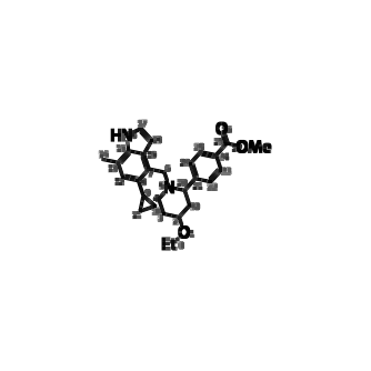 CCOC1CCN(Cc2c(C3CC3)cc(C)c3[nH]ccc23)C(c2ccc(C(=O)OC)cc2)C1